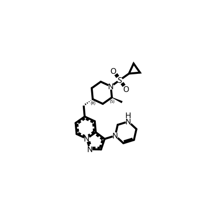 C[C@H]1C[C@H](Cc2ccn3ncc(N4C=CCNC4)c3c2)CCN1S(=O)(=O)C1CC1